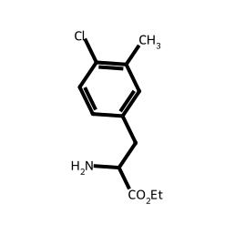 CCOC(=O)C(N)Cc1ccc(Cl)c(C)c1